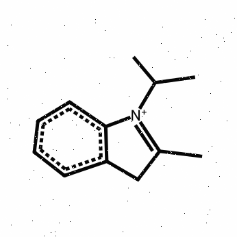 CC1=[N+](C(C)C)c2ccccc2C1